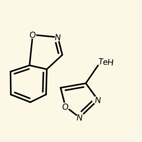 [TeH]c1conn1.c1ccc2oncc2c1